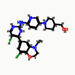 CC(C)N1CCOc2c(F)cc(-c3nc(Nc4ccc(N5CCC(CO)CC5)cn4)ncc3F)cc21